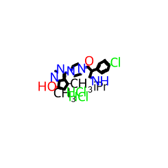 CC(C)NCC(C(=O)N1CCN(c2ncnc3c2[C@H](C)CC3(C)O)CC1)c1ccc(Cl)cc1.Cl.Cl